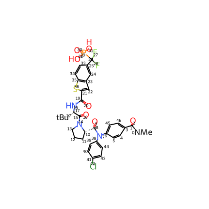 CNC(=O)c1ccc(N(C(=O)[C@@H]2CCCN2C(=O)[C@@H](NC(=O)c2cc3cc(C(F)(F)P(=O)(O)O)ccc3s2)C(C)(C)C)c2ccc(Cl)cc2)cc1